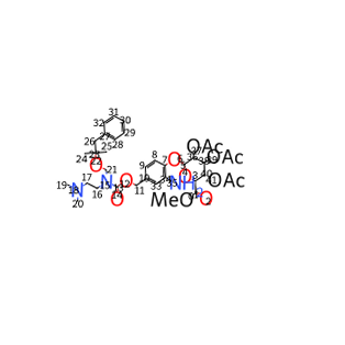 COC(=O)[C@H]1O[C@@H](Oc2ccc(COC(=O)N(CCN(C)C)COC(C)(C)Cc3ccccc3)cc2N)[C@H](OC(C)=O)[C@@H](OC(C)=O)[C@@H]1OC(C)=O